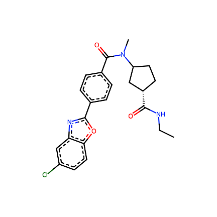 CCNC(=O)[C@H]1CCC(N(C)C(=O)c2ccc(-c3nc4cc(Cl)ccc4o3)cc2)C1